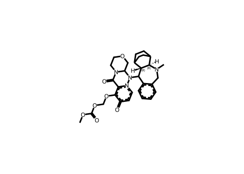 COC(=O)OCOc1c2n(ccc1=O)N(C1c3ccccc3CN(C)[C@@H]3C4CCC(CC4)[C@@H]13)C1COCCN1C2=O